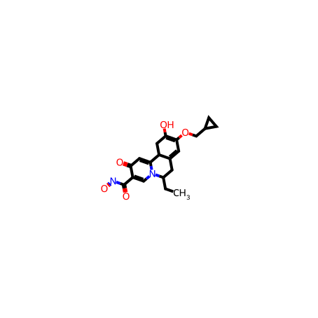 CCC1CC2=CC(OCC3CC3)=C(O)CC2c2cc(=O)c(C(=O)N=O)cn21